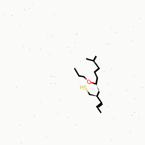 CC=C[C@@H](CS)C[C@@H](CCCC(C)C)OCCC